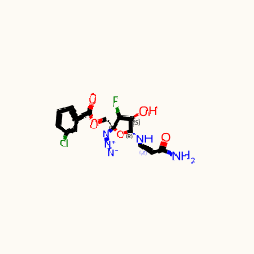 [N-]=[N+]=N[C@]1(COC(=O)c2cccc(Cl)c2)O[C@@H](N/C=C\C(N)=O)[C@H](O)C1F